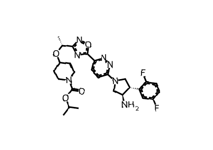 CC(C)OC(=O)N1CCC(O[C@H](C)c2noc(-c3ccc(N4C[C@H](c5cc(F)ccc5F)[C@@H](N)C4)nn3)n2)CC1